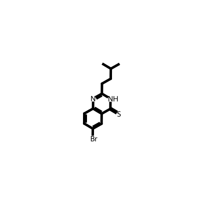 CC(C)CCc1nc2ccc(Br)cc2c(=S)[nH]1